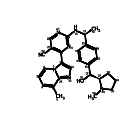 Cc1cccn2c(-c3nc(N[C@@H](C)c4ccc(C(O)[C@H]5CCCN5C)cc4)ncc3C#N)cnc12